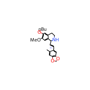 CCCCOc1cc2c(cc1OC)C(/C=C/c1cc3c(cc1C)OCO3)NCC2